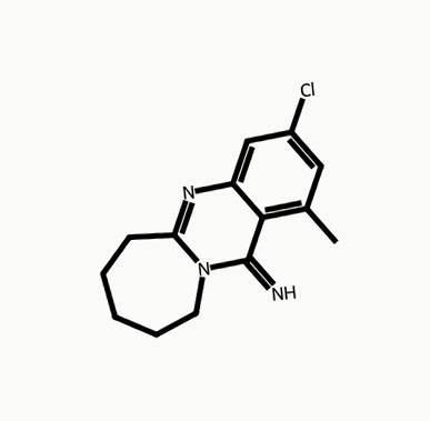 Cc1cc(Cl)cc2nc3n(c(=N)c12)CCCCC3